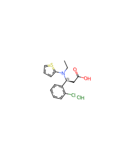 CCN(c1cccs1)[C@@H](CC(=O)O)c1ccccc1Cl.Cl